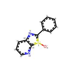 [O-][s+]1c(-c2ccccc2)nc2cccnc21